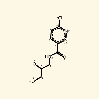 O=C(NCC(O)CO)c1ccc(Cl)nn1